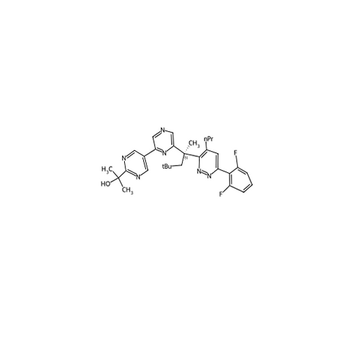 CCCc1cc(-c2c(F)cccc2F)nnc1[C@@](C)(CC(C)(C)C)c1cncc(-c2cnc(C(C)(C)O)nc2)n1